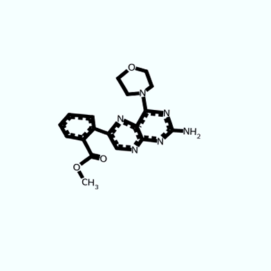 COC(=O)c1ccccc1-c1cnc2nc(N)nc(N3CCOCC3)c2n1